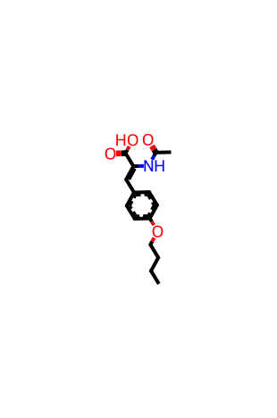 CCCCOc1ccc(C=C(NC(C)=O)C(=O)O)cc1